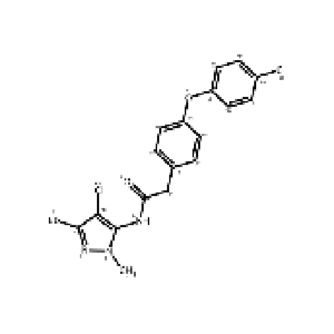 CCc1nn(C)c(NC(=O)Cc2ccc(Oc3ccc(Cl)cc3)cc2)c1Cl